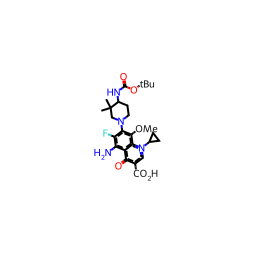 COc1c(N2CCC(NC(=O)OC(C)(C)C)C(C)(C)C2)c(F)c(N)c2c(=O)c(C(=O)O)cn(C3CC3)c12